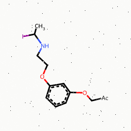 CC(=O)COc1cccc(OCCNC(C)I)c1